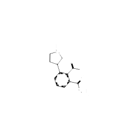 CCC(=O)c1c(C(N)=O)cccc1C1CCNC1